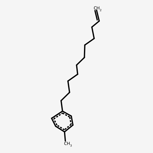 C=CCCCCCCCCCc1ccc(C)cc1